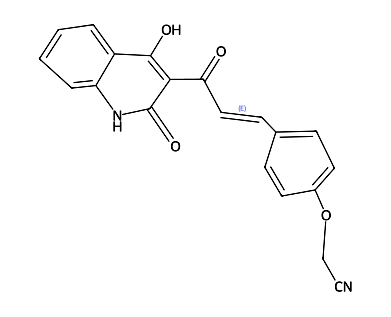 N#CCOc1ccc(/C=C/C(=O)c2c(O)c3ccccc3[nH]c2=O)cc1